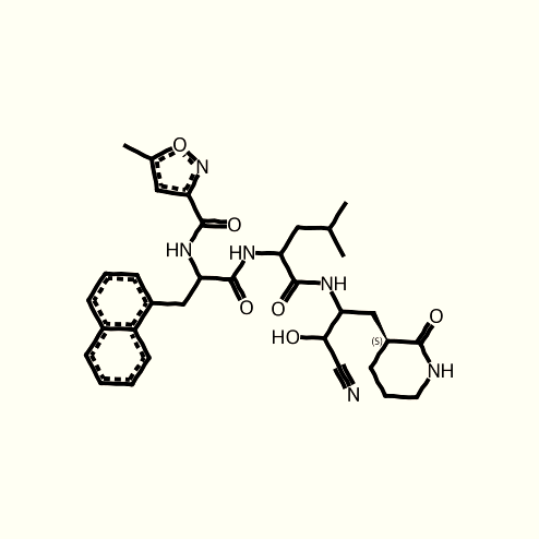 Cc1cc(C(=O)NC(Cc2cccc3ccccc23)C(=O)NC(CC(C)C)C(=O)NC(C[C@@H]2CCCNC2=O)C(O)C#N)no1